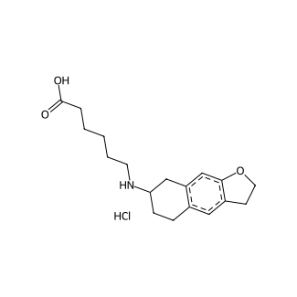 Cl.O=C(O)CCCCCNC1CCc2cc3c(cc2C1)OCC3